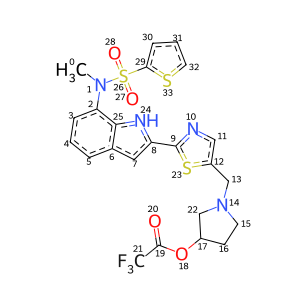 CN(c1cccc2cc(-c3ncc(CN4CCC(OC(=O)C(F)(F)F)C4)s3)[nH]c12)S(=O)(=O)c1cccs1